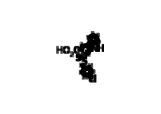 O=C(O)[C@H]1Cc2c([nH]c3ccccc23)CN1C(=S)SCc1ccc(Cl)cc1